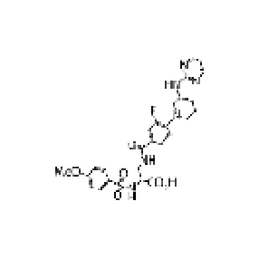 COc1ccc(S(=O)(=O)N[C@@H](CNC(=O)c2ccc(N3CCC[C@H](Nc4ncccn4)C3)c(F)c2)C(=O)O)cc1